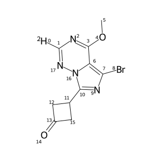 [2H]c1nc(OC)c2c(Br)nc(C3CC(=O)C3)n2n1